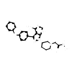 Nc1ncnc2c1c(-c1ccc(Oc3ccccc3)cc1)nn2[C@H]1CCCN(CC(=O)NO)C1